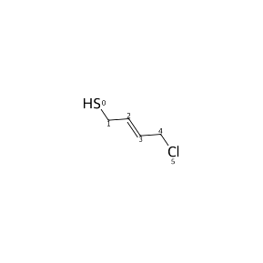 SCC=CCCl